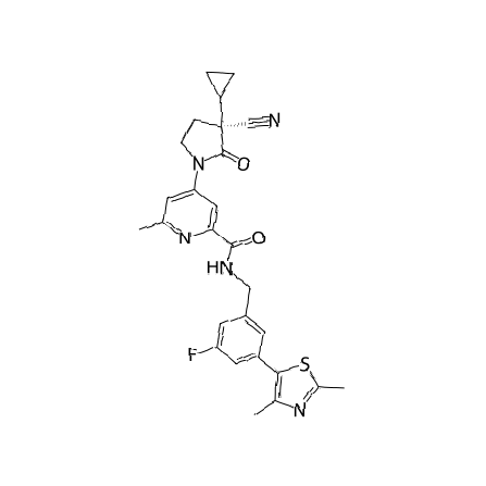 Cc1cc(N2CC[C@@](C#N)(C3CC3)C2=O)cc(C(=O)NCc2cc(F)cc(-c3sc(C)nc3C)c2)n1